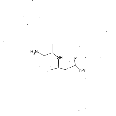 CCCC(CC(C)NC(C)CN)C(C)C